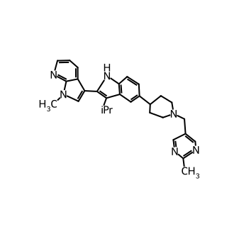 Cc1ncc(CN2CCC(c3ccc4[nH]c(-c5cn(C)c6ncccc56)c(C(C)C)c4c3)CC2)cn1